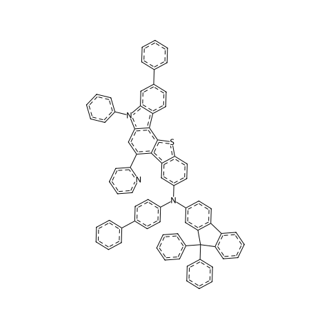 c1ccc(-c2ccc(N(c3ccc4c(c3)C(c3ccccc3)(c3ccccc3)c3ccccc3-4)c3ccc4sc5c(c(-c6ccccn6)cc6c5c5ccc(-c7ccccc7)cc5n6-c5ccccc5)c4c3)cc2)cc1